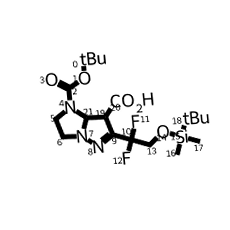 CC(C)(C)OC(=O)N1CCN2N=C(C(F)(F)CO[Si](C)(C)C(C)(C)C)C(C(=O)O)C21